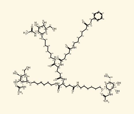 CC(=O)N[C@H]1[C@H](OCCCCCCNC(=O)CCC(NC(=O)CCC(NC(=O)CCCC(=O)NCCCCCCC(=O)OCc2ccccc2)C(=O)NCCCCCCO[C@@H]2O[C@H](CO)[C@H](O)[C@H](O)[C@H]2NC(C)=O)C(=O)NCCCCCCO[C@@H]2O[C@H](CO)[C@H](O)[C@H](O)[C@H]2NC(C)=O)O[C@H](CO)[C@H](O)[C@@H]1O